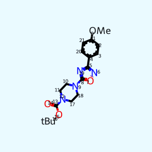 COc1ccc(-c2noc(N3CCN(C(=O)OC(C)(C)C)CC3)n2)cc1